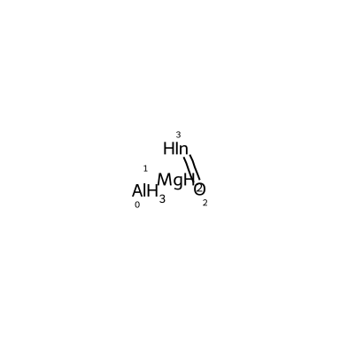 [AlH3].[MgH2].[O]=[InH]